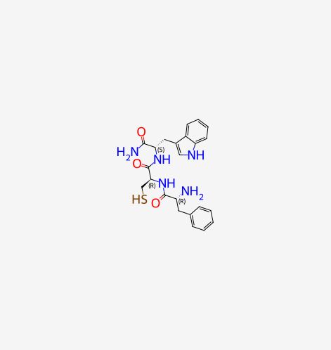 NC(=O)[C@H](Cc1c[nH]c2ccccc12)NC(=O)[C@H](CS)NC(=O)[C@H](N)Cc1ccccc1